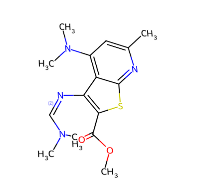 COC(=O)c1sc2nc(C)cc(N(C)C)c2c1/N=C\N(C)C